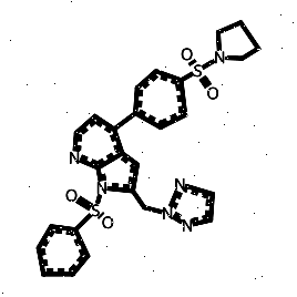 O=S(=O)(c1ccc(-c2ccnc3c2cc(Cn2nccn2)n3S(=O)(=O)c2ccccc2)cc1)N1CCCC1